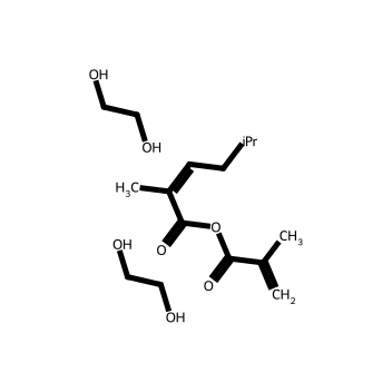 C=C(C)C(=O)OC(=O)C(C)=CCC(C)C.OCCO.OCCO